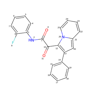 O=C(Nc1ccccc1F)C(=O)c1c(-c2ccccc2)cc2ccccn12